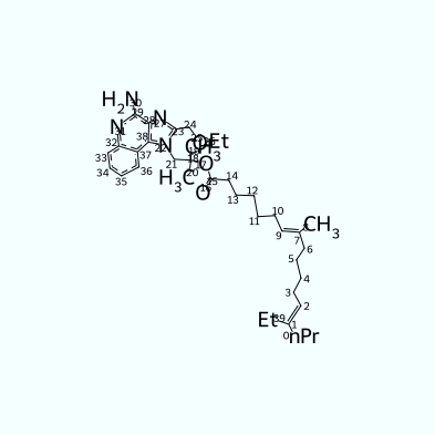 CCC/C(=C/CCCC/C(C)=C/CCCCCC(=O)OC(C)(C)Cn1c(COCC)nc2c(N)nc3ccccc3c21)CC